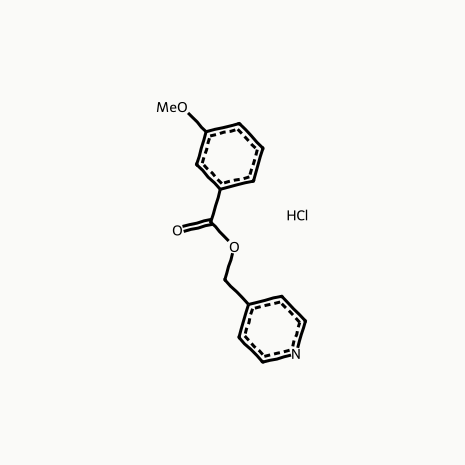 COc1cccc(C(=O)OCc2ccncc2)c1.Cl